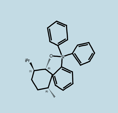 CC(C)[C@@H]1CC[C@@H](C)C[C@H]1O[Si](c1ccccc1)(c1ccccc1)c1ccccc1